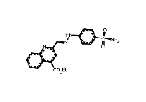 CCOC(=O)c1cc(C=NNc2ccc(S(N)(=O)=O)cc2)nc2ccccc12